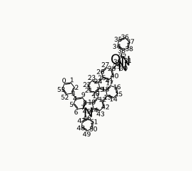 c1ccc(-c2ccc3c(c2)c2cc(-c4ccccc4-c4ccccc4-c4ccc(-c5nnc(-c6ccccc6)o5)cc4)ccc2n3-c2ccccc2)cc1